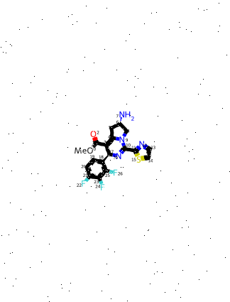 COC(=O)C1=C2C[C@H](N)CN2C(c2nccs2)=N[C@H]1c1ccc(F)c(F)c1F